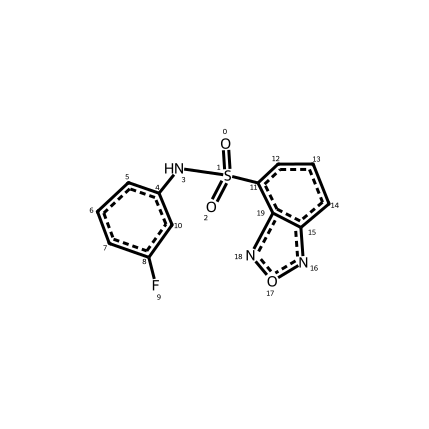 O=S(=O)(Nc1cccc(F)c1)c1cccc2nonc12